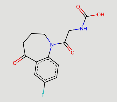 O=C(O)NCC(=O)N1CCCC(=O)c2cc(F)ccc21